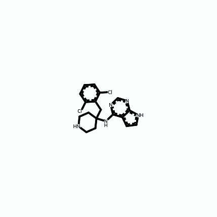 Clc1cccc(Cl)c1CC1(Nc2ncnc3[nH]ccc23)CCNCC1